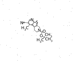 Cc1c(C#N)cnc2sc3c(c12)CCN(C(=O)OC(C)(C)C)C3